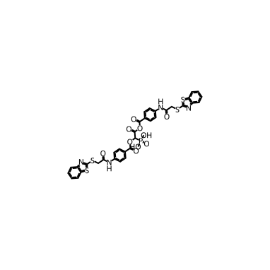 O=C(CSc1nc2ccccc2s1)Nc1ccc(C(=O)OC(=O)C(OC(=O)c2ccc(NC(=O)CSc3nc4ccccc4s3)cc2)P(=O)(O)O)cc1